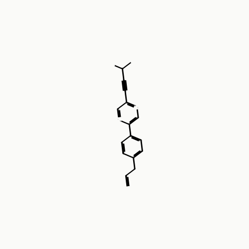 C=CCc1ccc(-c2cnc(C#CC(C)O)cn2)cc1